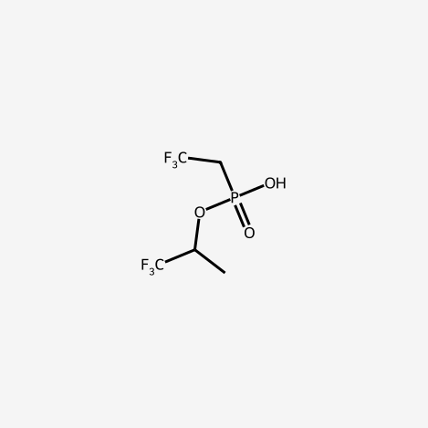 CC(OP(=O)(O)CC(F)(F)F)C(F)(F)F